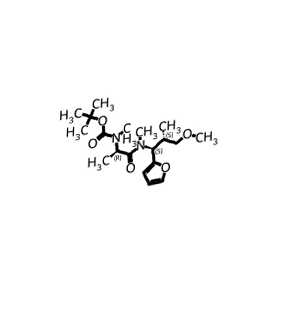 COC[C@@H](C)[C@@H](c1ccco1)N(C)C(=O)[C@@H](C)N(C)C(=O)OC(C)(C)C